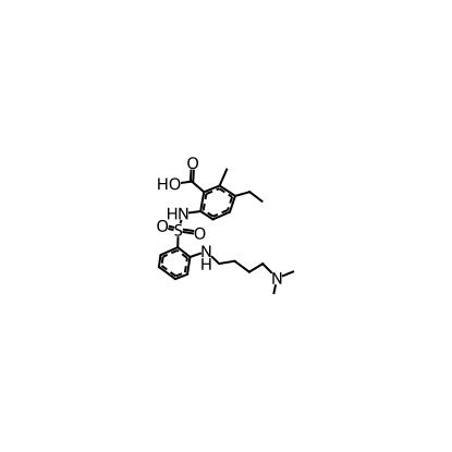 CCc1ccc(NS(=O)(=O)c2ccccc2NCCCCN(C)C)c(C(=O)O)c1C